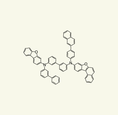 c1ccc(-c2cccc(N(c3cccc(-c4cccc(N(c5ccc(-c6ccc7ccccc7c6)cc5)c5ccc6c(c5)oc5ccc7ccccc7c56)c4)c3)c3ccc4c(c3)oc3ccccc34)c2)cc1